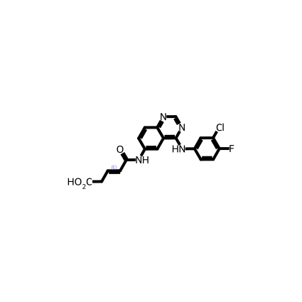 O=C(O)C/C=C/C(=O)Nc1ccc2ncnc(Nc3ccc(F)c(Cl)c3)c2c1